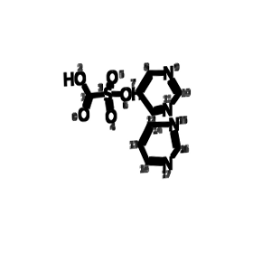 O=C(O)S(=O)(=O)O.c1cncnc1.c1cncnc1